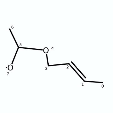 CC=CCOC(C)[O]